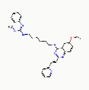 CNC(=Nc1ccccc1)NCCCCCCNc1nc(C=Cc2ccccn2)nc2ccc(OC)cc12